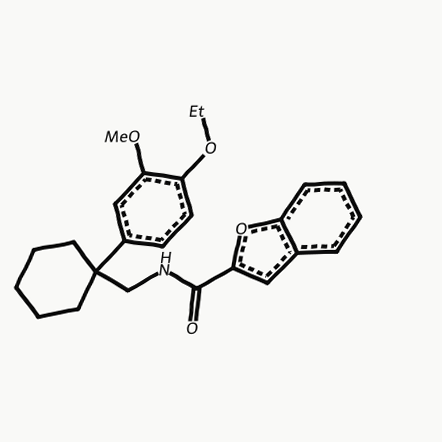 CCOc1ccc(C2(CNC(=O)c3cc4ccccc4o3)CCCCC2)cc1OC